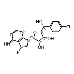 N=c1nc[nH]c2c1c(F)cn2[C@@H]1O[C@H]([C@H](O)c2ccc(Cl)cc2)[C@@H](O)[C@H]1O